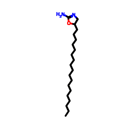 CCCCCCCCCCCCCCCCCCC1CN=C(N)O1